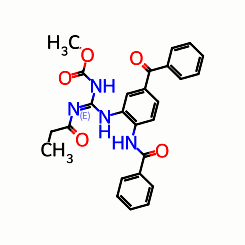 CCC(=O)/N=C(/NC(=O)OC)Nc1cc(C(=O)c2ccccc2)ccc1NC(=O)c1ccccc1